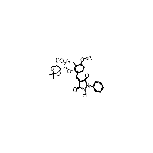 CCCOc1ccc(/C=C2/C(=O)NN(c3ccccc3)C2=O)c(OC[C@@H]2OC(C)(C)O[C@H]2C(=O)O)c1C